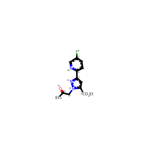 CCOC(=O)c1cc(-c2ccc(F)cn2)nn1CC(=O)CC